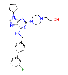 OCCN1CCN(c2nc(NCc3ccc(-c4cccc(F)c4)cc3)c3ncn(C4CCCC4)c3n2)CC1